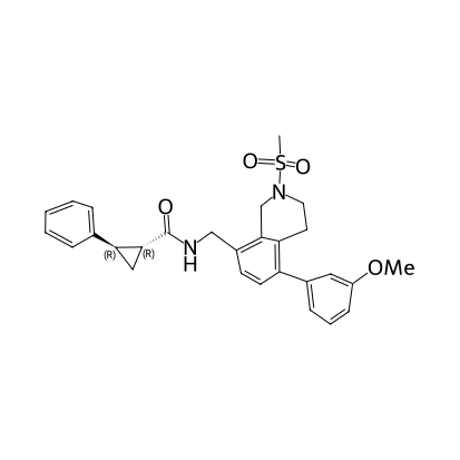 COc1cccc(-c2ccc(CNC(=O)[C@@H]3C[C@H]3c3ccccc3)c3c2CCN(S(C)(=O)=O)C3)c1